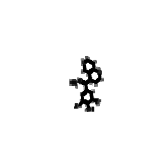 Br.O=C(c1cc(Br)c(O)c(Br)c1)N1CCOc2ccncc21